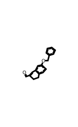 O=CC1=Cc2cc(OCc3ccccc3)ccc2CC1